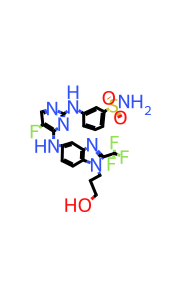 NS(=O)(=O)c1cccc(Nc2ncc(F)c(Nc3ccc4c(c3)nc(C(F)(F)F)n4CCCO)n2)c1